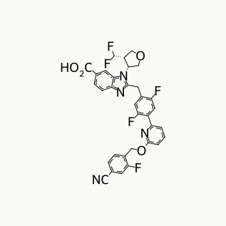 N#Cc1ccc(COc2cccc(-c3cc(F)c(Cc4nc5ccc(C(=O)O)cc5n4[C@H]4COC[C@H]4C(F)F)cc3F)n2)c(F)c1